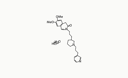 COc1cc2c(cc1OC)CC(=O)N(CCCC1CCCN(CCCc3cccnc3)C1)C=C2.Cl.Cl.O